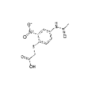 CC(=O)Nc1ccc(SCC(=O)O)c([N+](=O)[O-])c1